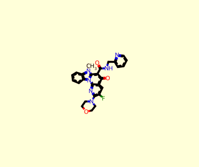 Cn1c2ccccc2n2c3nc(N4CCOCC4)c(F)cc3c(=O)c(C(=O)NCc3ccccn3)c12